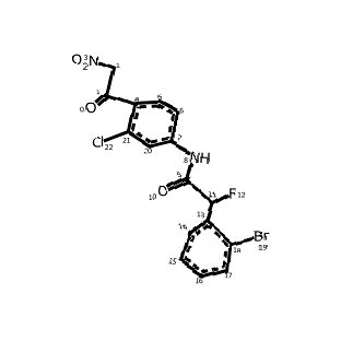 O=C(C[N+](=O)[O-])c1ccc(NC(=O)C(F)c2ccccc2Br)cc1Cl